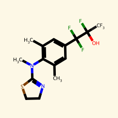 Cc1cc(C(F)(F)C(O)(F)C(F)(F)F)cc(C)c1N(C)C1=NCCS1